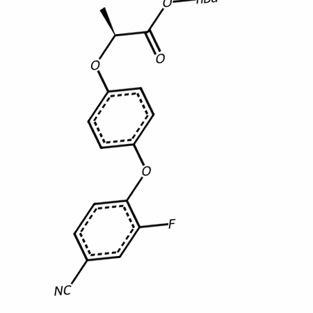 CCCCOC(=O)[C@H](C)Oc1ccc(Oc2ccc(C#N)cc2F)cc1